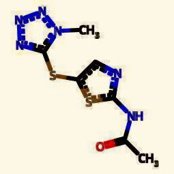 CC(=O)Nc1ncc(Sc2nnnn2C)s1